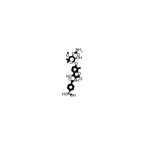 CO[C@@H]1[C@@H](OC(N)=O)[C@@H](O)[C@H](Oc2ccc3c(O)c(NC(=O)c4ccc(B(O)O)cc4)c(=O)oc3c2C)OC1(C)C